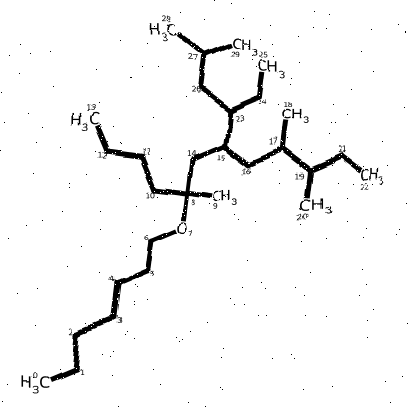 CCCCCCCOC(C)(CCCC)CC(CC(C)C(C)CC)C(CC)CC(C)C